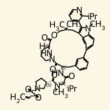 C=CS(=O)(=O)N1CC[C@H](C(=O)N(C)[C@H](C(=O)N[C@H]2Cc3cccc(c3)-c3ccc4c(c3)c(c(-c3cccnc3C(C)C)n4C)CC(C)(C)COC(=O)[C@@H]3CCCN(N3)C2=O)C(C)C)C1